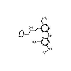 CCc1ccc(Nc2nc(C)cc(NC)n2)cc1CC[C@H](O)CN1CCCC1